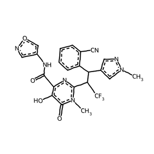 Cn1cc(C(c2ccccc2C#N)C(c2nc(C(=O)Nc3cnoc3)c(O)c(=O)n2C)C(F)(F)F)cn1